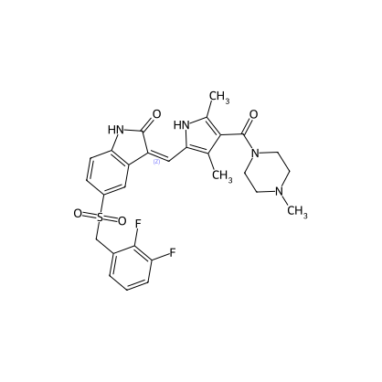 Cc1[nH]c(/C=C2\C(=O)Nc3ccc(S(=O)(=O)Cc4cccc(F)c4F)cc32)c(C)c1C(=O)N1CCN(C)CC1